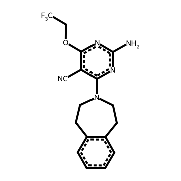 N#Cc1c(OCC(F)(F)F)nc(N)nc1N1CCc2ccccc2CC1